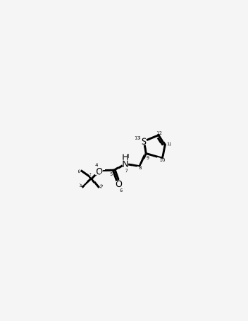 CC(C)(C)OC(=O)NCC1CC=CS1